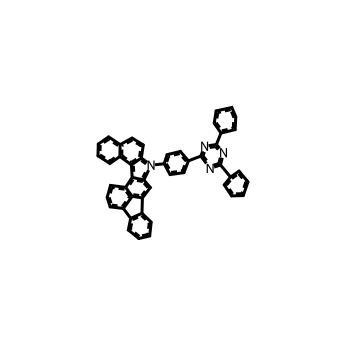 c1ccc(-c2nc(-c3ccccc3)nc(-c3ccc(-n4c5ccc6ccccc6c5c5c6cccc7c6c(cc54)-c4ccccc4-7)cc3)n2)cc1